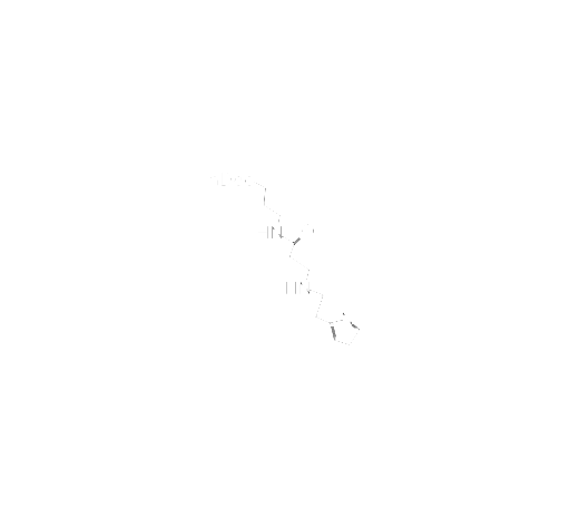 CCCCCCCCCCCCCNC(=O)CCNCCC1=CCC=N1